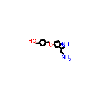 NCCc1c[nH]c2ccc(OCc3ccc(CO)cc3)cc12